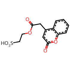 O=C(Cc1cc(=O)oc2ccccc12)OCCS(=O)(=O)O